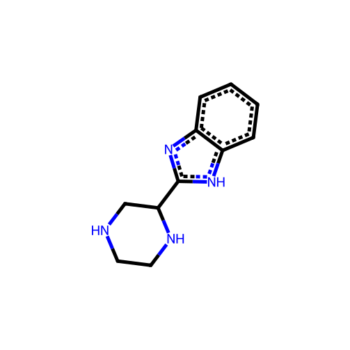 c1ccc2[nH]c(C3CNCCN3)nc2c1